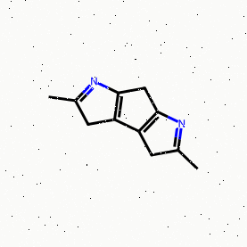 CC1=NC2=C(C1)C1=C(C2)N=C(C)C1